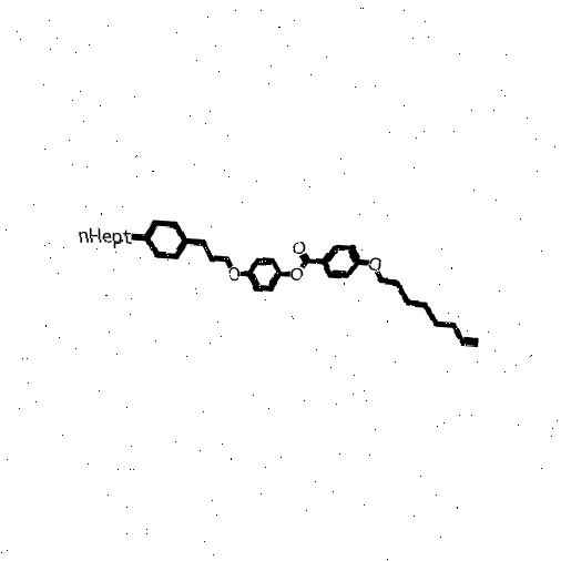 C=CCCCCCCOc1ccc(C(=O)Oc2ccc(OCCCC3CCC(CCCCCCC)CC3)cc2)cc1